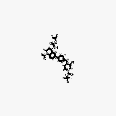 CC(=O)N1c2ccc(-c3ccc(CN4CCN(C(=O)OC(C)(C)C)CC4=O)cc3)cc2[C@H](NC(=O)OC(C)C)C[C@@H]1C